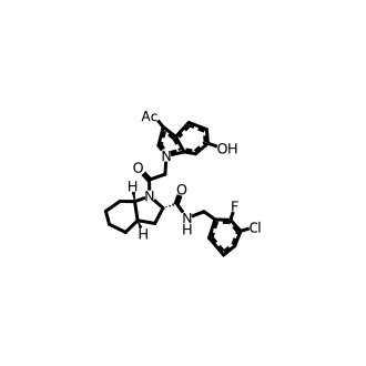 CC(=O)c1cn(CC(=O)N2[C@H](C(=O)NCc3cccc(Cl)c3F)C[C@@H]3CCCC[C@@H]32)c2cc(O)ccc12